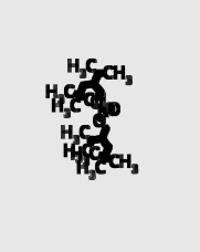 CC(C)C(CO[N+](=O)OCC(CC(C)(C)C)C(C)C)CC(C)(C)C